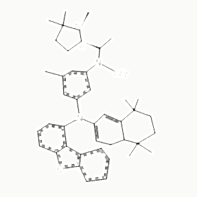 CCCN(c1cc(C)cc(N(C2=CCC3C(=C2)C(C)(C)CCC3(C)C)c2cccc3oc4ccccc4c23)c1)C(C)[C@H]1CCC(C)(C)[C@H]1C